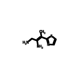 CC(=C(N)CN)c1nccs1